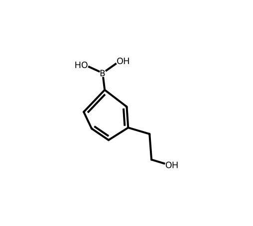 OCCc1cccc(B(O)O)c1